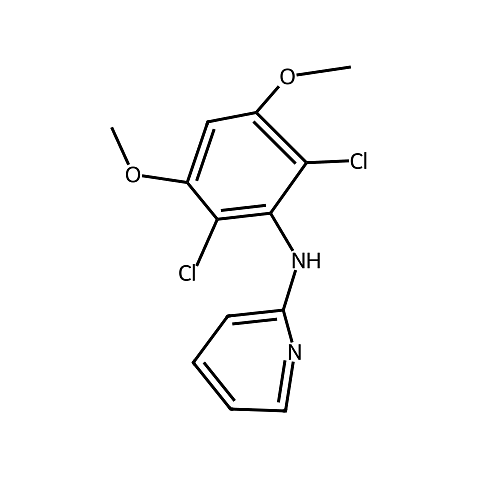 COc1cc(OC)c(Cl)c(Nc2ccccn2)c1Cl